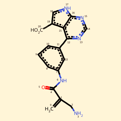 C=C(CN)C(=O)Nc1cccc(-c2ncnc3[nH]cc(C(=O)O)c23)c1